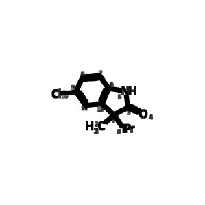 CC(C)C1(C)C(=O)Nc2ccc(Cl)cc21